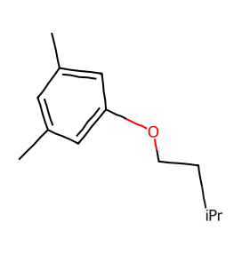 Cc1cc(C)cc(OCCC(C)C)c1